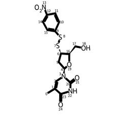 Cc1cn([C@H]2C[C@H](SSc3ccc([N+](=O)[O-])cc3)[C@@H](CO)O2)c(=O)[nH]c1=O